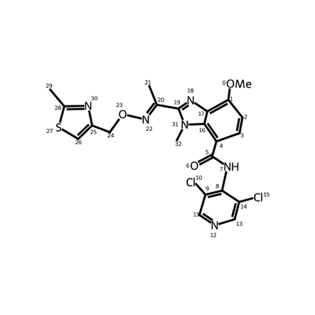 COc1ccc(C(=O)Nc2c(Cl)cncc2Cl)c2c1nc(C(C)=NOCc1csc(C)n1)n2C